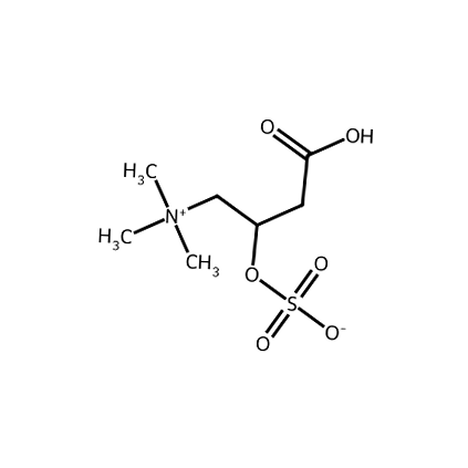 C[N+](C)(C)CC(CC(=O)O)OS(=O)(=O)[O-]